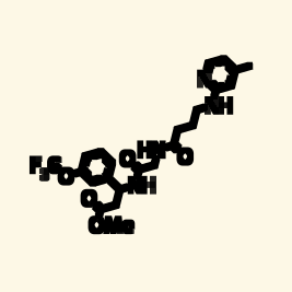 COC(=O)CC(NC(=O)CNC(=O)CCCNc1cc(C)ccn1)c1cccc(OC(F)(F)F)c1